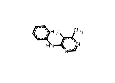 Cc1ncnc(Nc2ccccc2)c1C